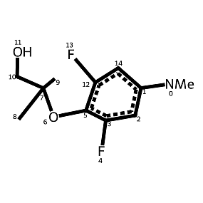 CNc1cc(F)c(OC(C)(C)CO)c(F)c1